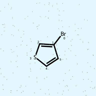 Brc1[c]scc1